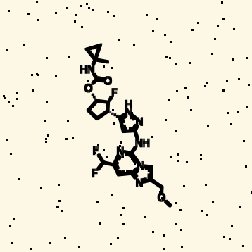 COCc1cn2c(Nc3cc([C@@H]4CC[C@H](OC(=O)NC5(C)CC5)[C@H]4F)[nH]n3)nc(C(F)F)cc2n1